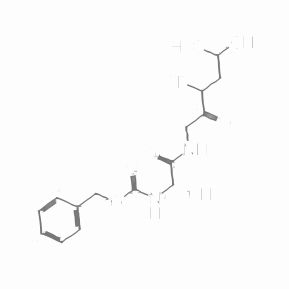 CC(C)CC(F)C(=O)CNC(=O)[C@H](C)NC(=O)OCc1ccccc1